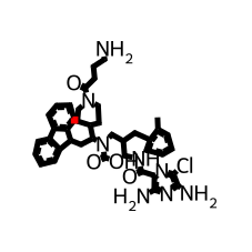 Cc1ccccc1CC(CNC(=O)c1nc(Cl)c(N)nc1N)CN(C(=O)O)C(CC1c2ccccc2-c2ccccc21)C1CCN(C(=O)CCCN)CC1